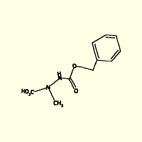 CN(NC(=O)OCc1ccccc1)C(=O)O